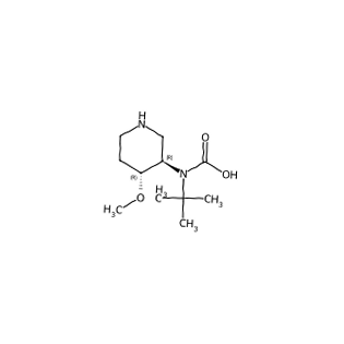 CO[C@@H]1CCNC[C@H]1N(C(=O)O)C(C)(C)C